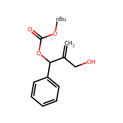 C=C(CO)C(OC(=O)OCCCC)c1ccccc1